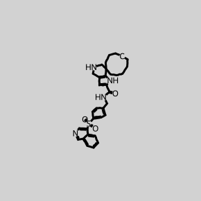 O=C(NCc1ccc(S(=O)(=O)c2cncc3ccccc23)cc1)c1cc2c([nH]1)C1(CCCCCCCCC1)CNC2